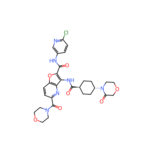 O=C(Nc1ccc(Cl)nc1)c1oc2ccc(C(=O)N3CCOCC3)nc2c1NC(=O)[C@H]1CC[C@H](N2CCOCC2=O)CC1